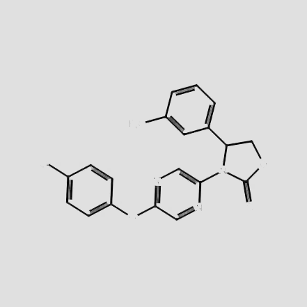 O=C1OCC(c2cccc(C(F)(F)F)c2)N1c1cnc(Oc2ccc(Cl)cc2)cn1